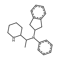 CC(C1CCCCN1)N(c1ccccc1)C1Cc2ccccc2C1